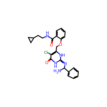 NC(/N=c1/[nH]c(COc2ccccc2C(=O)NCCC2CC2)c(Cl)c(=O)[nH]1)c1ccccc1